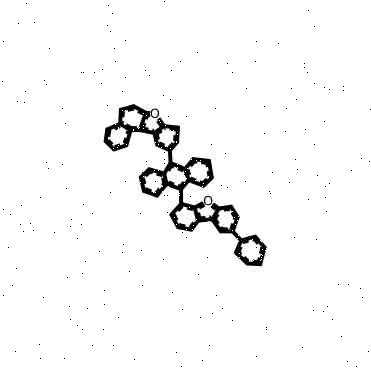 c1ccc(-c2ccc3oc4c(-c5c6ccccc6c(-c6ccc7oc8ccc9ccccc9c8c7c6)c6ccccc56)cccc4c3c2)cc1